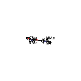 CNC1CC(N2CCCC2)=C(C#N)/C(=C(\C#N)C(=O)OCCCCCCOC(=O)/C(C#N)=C2\CC(NC)CC(N3CCCC3)=C2C#N)C1